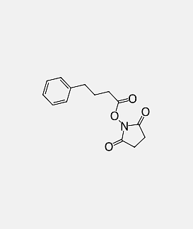 O=C(CCCc1ccccc1)ON1C(=O)CCC1=O